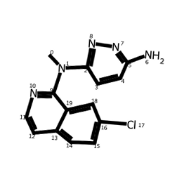 CN(c1ccc(N)nn1)c1nccc2ccc(Cl)cc12